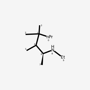 CCCC(C)(C)C(C)[C@H](C)NCC